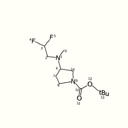 CN(CC(F)F)C1CCN(C(=O)OC(C)(C)C)C1